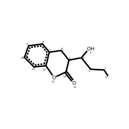 CCCC(O)C1Cc2ccccc2OC1=O